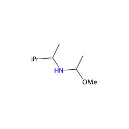 COC(C)NC(C)C(C)C